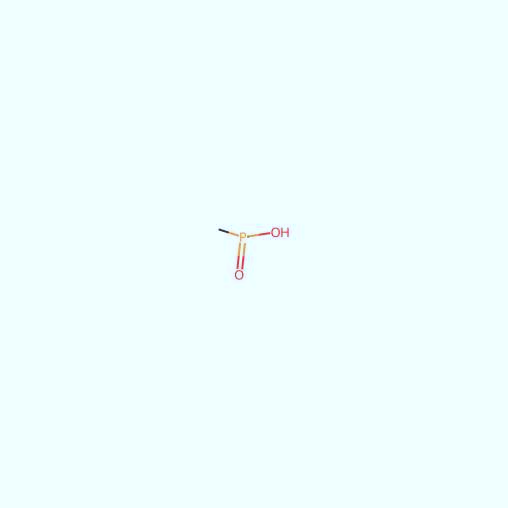 C[P](=O)O